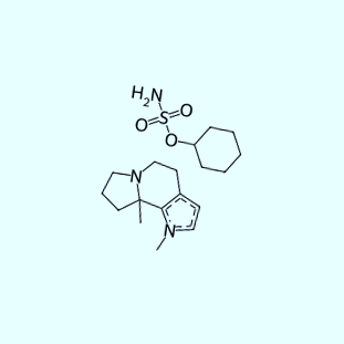 Cn1ccc2c1C1(C)CCCN1CC2.NS(=O)(=O)OC1CCCCC1